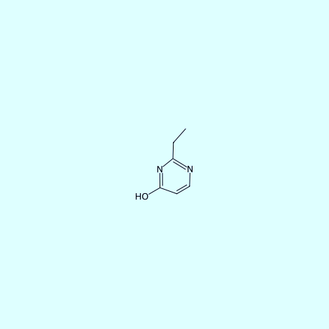 CCc1nccc(O)n1